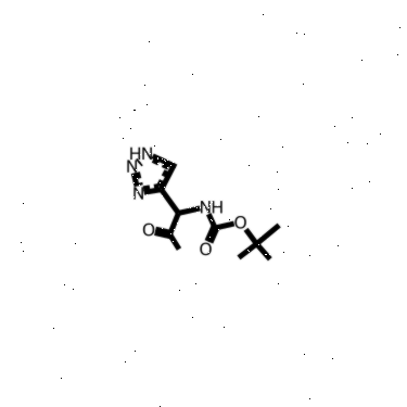 CC(=O)C(NC(=O)OC(C)(C)C)c1c[nH]nn1